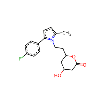 Cc1ccc(-c2ccc(F)cc2)n1CCC1CC(O)CC(=O)O1